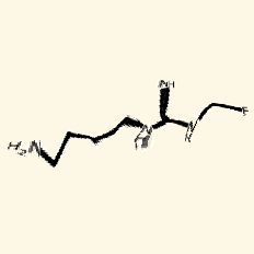 N=C(NCF)NCCCCN